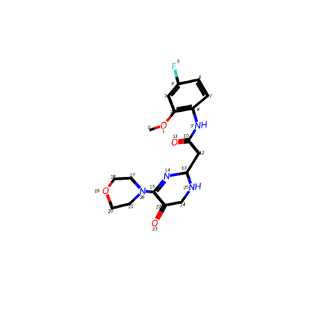 COc1cc(F)ccc1NC(=O)CC1N=C(N2CCOCC2)C(=O)CN1